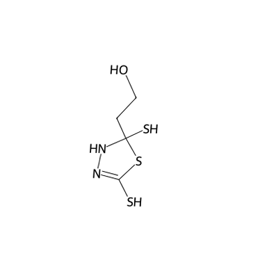 OCCC1(S)NN=C(S)S1